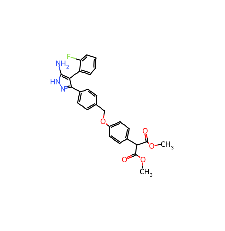 COC(=O)C(C(=O)OC)c1ccc(OCc2ccc(-c3n[nH]c(N)c3-c3ccccc3F)cc2)cc1